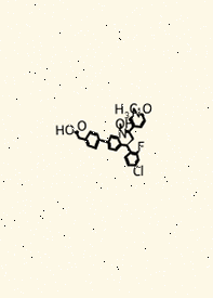 Cn1cc(C(C[C@H](c2ccc(-c3ccc(CC(=O)O)cc3)cc2)c2ccc(Cl)cc2F)=NO)ccc1=O